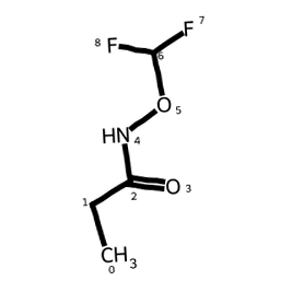 CCC(=O)NOC(F)F